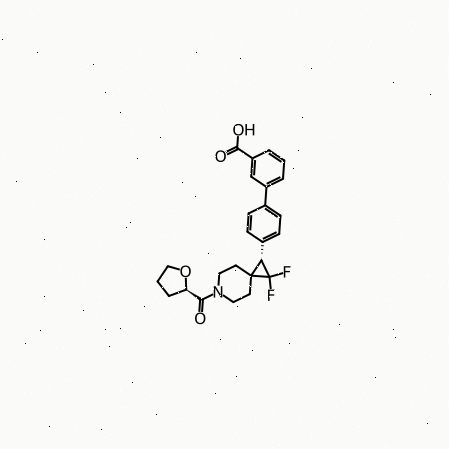 O=C(O)c1cccc(-c2ccc([C@@H]3C(F)(F)C34CCN(C(=O)[C@H]3CCCO3)CC4)cc2)c1